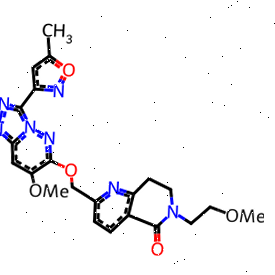 COCCN1CCc2nc(COc3nn4c(-c5cc(C)on5)nnc4cc3OC)ccc2C1=O